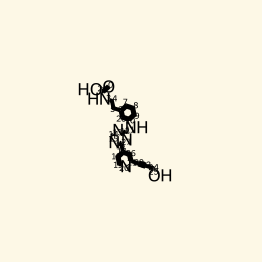 O=C(O)NCCc1cccc(Nc2ncnc(-c3ccnc(C#CCO)c3)n2)c1